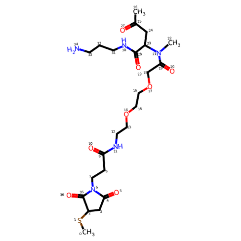 CSC1CC(=O)N(CCC(=O)NCCOCCOCC(=O)N(C)C(CC(C)=O)C(=O)NCCCN)C1=O